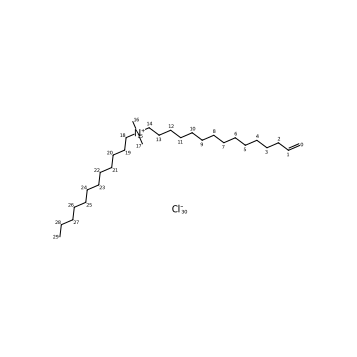 C=CCCCCCCCCCCCCC[N+](C)(C)CCCCCCCCCCCC.[Cl-]